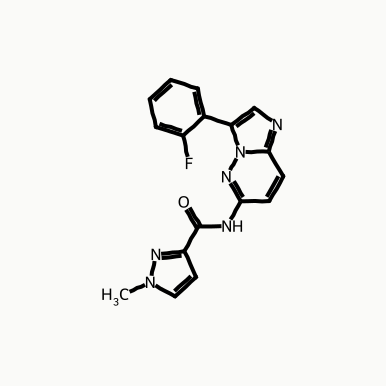 Cn1ccc(C(=O)Nc2ccc3ncc(-c4ccccc4F)n3n2)n1